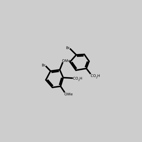 COc1ccc(Br)c(OC)c1C(=O)O.O=C(O)c1ccc(Br)cc1